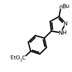 CCCCc1cc(-c2ccc(C(=O)OCC)cc2)[nH]n1